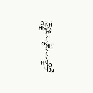 CC(C)(C)OC(=O)NCCCCCCNC(=O)CCCC[C@@H]1SCC2NC(=O)N[C@@H]21